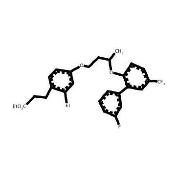 CCOC(=O)CCc1ccc(OCCC(C)Oc2ccc(C(F)(F)F)cc2-c2cccc(F)c2)cc1CC